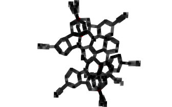 Cc1cc(-c2ccccc2-c2c(-n3c4ccc(C#N)cc4c4cc(C#N)ccc43)c(-n3c4ccc(C#N)cc4c4cc(C#N)ccc43)nc(-n3c4ccc(C#N)cc4c4cc(C#N)ccc43)c2-n2c3ccc(C#N)cc3c3cc(C#N)ccc32)cc(C)n1